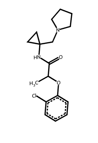 CC(Oc1ccccc1Cl)C(=O)NC1(CN2CCCC2)CC1